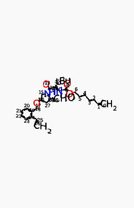 C=CCCCCCOC(=O)N[C@H](C(=O)N1C[C@H](OCc2ccccc2C=C)C[C@H]1C=O)C(C)(C)C